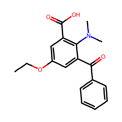 CCOc1cc(C(=O)O)c(N(C)C)c(C(=O)c2ccccc2)c1